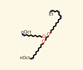 CC/C=C\C/C=C\C/C=C\CCCCCCCCOCC(COCCCCCCCC/C=C\CCCCCCCC)OCCCCCCCC/C=C\CCCCCCCC